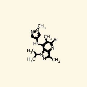 Cc1c(Br)nc2c(C)nn(C(C)C)c2c1Nc1cnn(C)c1